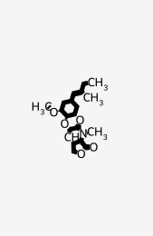 CC/C(C)=C/C1CC[C@@H](OC(C)C(=O)N(C)C2CCOC2=O)[C@H](OC)C1